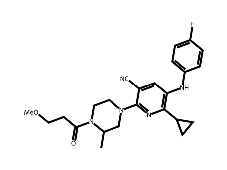 COCCC(=O)N1CCN(c2nc(C3CC3)c(Nc3ccc(F)cc3)cc2C#N)CC1C